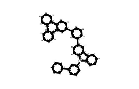 c1ccc(-c2cccc(-n3c4ccccc4c4cc(-c5cccc(-c6ccc7c8ccccc8c8ccccc8c7c6)c5)ccc43)c2)cc1